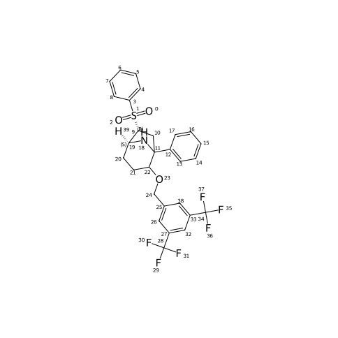 O=S(=O)(c1ccccc1)[C@@H]1CC2(c3ccccc3)N[C@H]1CCC2OCc1cc(C(F)(F)F)cc(C(F)(F)F)c1